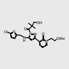 COCCn1cccc(-c2cc(NCc3ccc(Cl)s3)n(C(=O)C(C)(C)CO)n2)c1=O